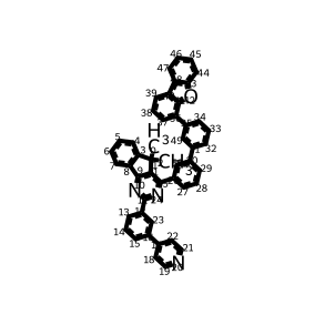 CC1(C)c2ccccc2-c2nc(-c3cccc(-c4ccncc4)c3)nc(-c3cccc(-c4cccc(-c5cccc6c5oc5ccccc56)c4)c3)c21